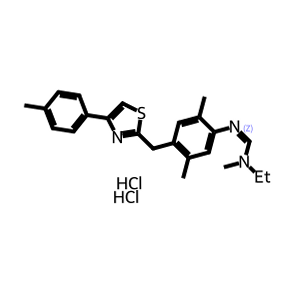 CCN(C)/C=N\c1cc(C)c(Cc2nc(-c3ccc(C)cc3)cs2)cc1C.Cl.Cl